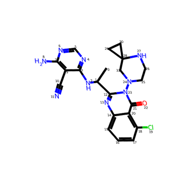 CC(Nc1ncnc(N)c1C#N)c1nc2cccc(Cl)c2c(=O)n1N1CCNC2(CC2)C1